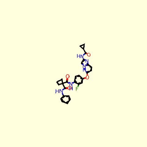 O=C(Nc1cn2nc(Oc3ccc(NC(=O)C4(C(=O)Nc5ccccc5)CCC4)c(F)c3)ccc2n1)C1CC1